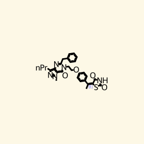 CCCc1nn(C)c2c(=O)n(CCOc3ccc(/C(C)=C4/SC(=O)NC4=O)cc3)c(Cc3ccccc3)nc12